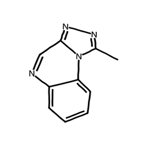 Cc1nnc2cnc3ccccc3n12